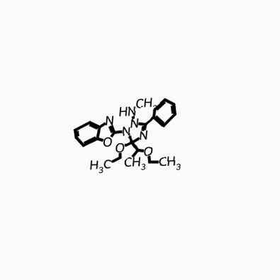 CCOC(C)C1(OCC)N=C(c2ccccc2)N(NC)N1c1nc2ccccc2o1